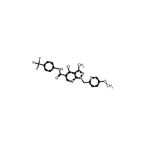 COc1ccc(Cn2nc(C)c3c(Cl)c(C(=O)Nc4ccc(C(F)(F)F)cc4)cnc32)nc1